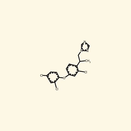 CC(Cn1cncn1)c1ccc(Oc2ccc(Cl)cc2Cl)cc1Cl